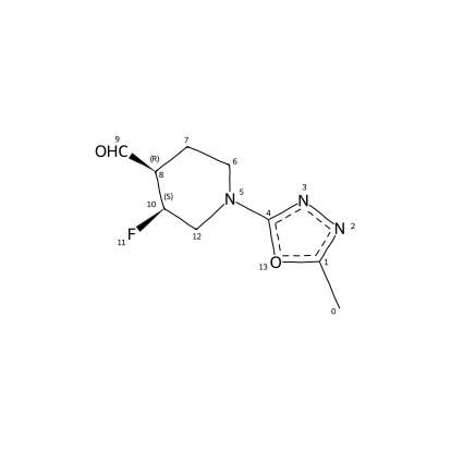 Cc1nnc(N2CC[C@H](C=O)[C@H](F)C2)o1